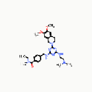 CCN(C)C(=O)c1ccc(CNc2nc(NCCN(C)C)nc(N3CCc4cc(OC)c(OC)cc4C3)n2)cc1